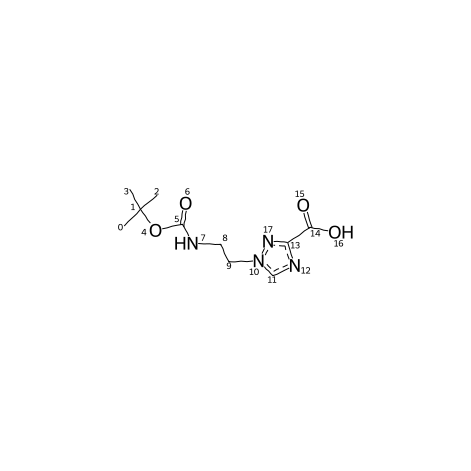 CC(C)(C)OC(=O)NCCn1cnc(C(=O)O)n1